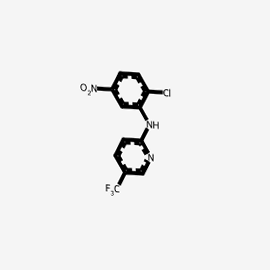 O=[N+]([O-])c1ccc(Cl)c(Nc2ccc(C(F)(F)F)cn2)c1